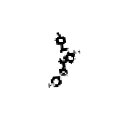 Cc1ccc(C(C)Oc2c(N)ncc3c(-c4cnn(C5CCNCC5)c4)coc23)cc1